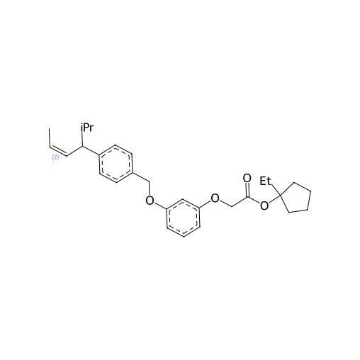 C/C=C\C(c1ccc(COc2cccc(OCC(=O)OC3(CC)CCCC3)c2)cc1)C(C)C